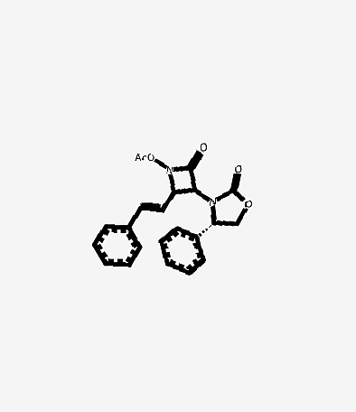 CC(=O)ON1C(=O)C(N2C(=O)OC[C@@H]2c2ccccc2)C1C=Cc1ccccc1